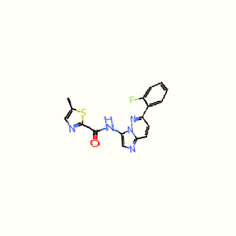 Cc1cnc(C(=O)Nc2cnc3ccc(-c4ccccc4F)nn23)s1